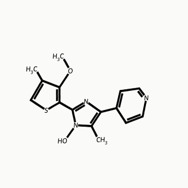 COc1c(C)csc1-c1nc(-c2ccncc2)c(C)n1O